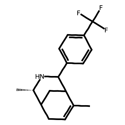 CC1=CCC2CC1C(c1ccc(C(F)(F)F)cc1)N[C@H]2C